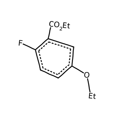 CCOC(=O)c1cc(OCC)ccc1F